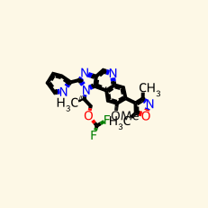 COc1cc2c(cc1-c1c(C)noc1C)ncc1nc(-c3ccccn3)n([C@H](C)COC(F)F)c12